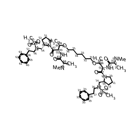 CN[C@@H](C)C(=O)N[C@H](C(=O)N1CCC[C@H]1CN(CCc1ccccc1)S(C)(=O)=O)[C@@H](C)OCCCCCCO[C@H](C)[C@H](NC(=O)[C@H](C)NC)C(=O)N1CCC[C@H]1CN(CCc1ccccc1)S(C)(=O)=O